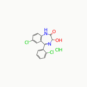 Cl.O=C1Nc2ccc(Cl)cc2C(c2ccccc2Cl)=NC1O